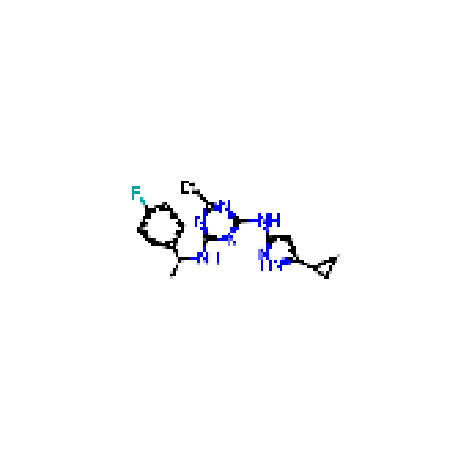 CCc1nc(Nc2cc(C3CC3)[nH]n2)nc(N[C@@H](C)c2ccc(F)cc2)n1